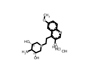 COc1ccc2ncc(Cl)c(CCN3C[C@@H](O)C(N)[C@@H](O)C3)c2c1.Cl.Cl.Cl